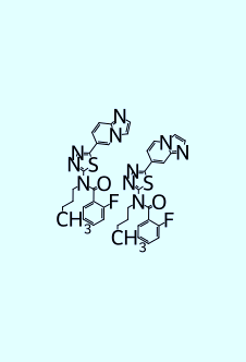 CCCCN(C(=O)c1ccccc1F)c1nnc(-c2ccc3nccn3c2)s1.CCCCN(C(=O)c1ccccc1F)c1nnc(-c2ccn3ccnc3c2)s1